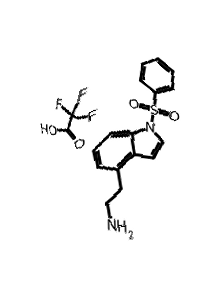 NCCc1cccc2c1ccn2S(=O)(=O)c1ccccc1.O=C(O)C(F)(F)F